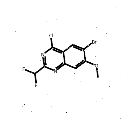 COc1cc2nc(C(F)F)nc(Cl)c2cc1Br